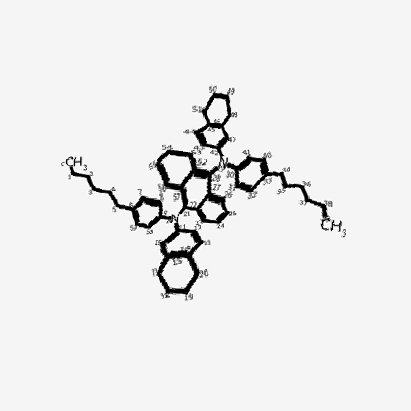 CCCCCCc1ccc(N(c2ccc3c(c2)CCCC3)c2c3ccccc3c(N(c3ccc(CCCCCC)cc3)c3ccc4c(c3)CCCC4)c3ccccc23)cc1